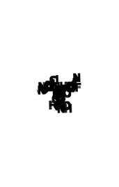 Cn1cc2cc(Nc3nc(=O)n(Cc4cc(F)c[nH]c4=O)c(=O)n3Cc3ccc(F)c(C#N)c3)c(Cl)cc2n1